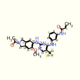 C=CC(=O)Nc1cccc(Nc2nc(Nc3cc4c(cc3OC)CN(C(C)=O)C4)ncc2C(F)(F)F)c1